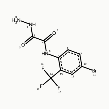 NNC(=O)C(=O)Nc1ccc(Br)cc1C(F)(F)F